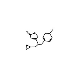 Cc1ccc(CN(CC2CC2)C2=CC(=O)OC2)cc1